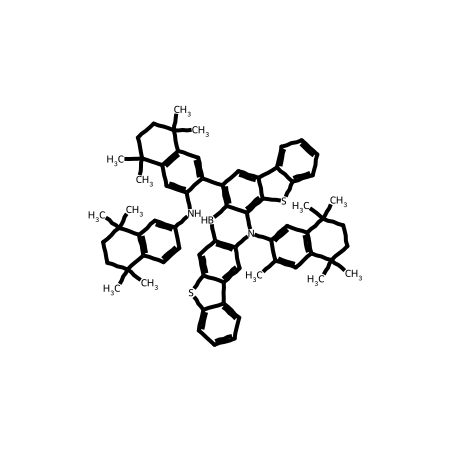 Cc1cc2c(cc1N1c3cc4c(cc3Bc3c(-c5cc6c(cc5Nc5ccc7c(c5)C(C)(C)CCC7(C)C)C(C)(C)CCC6(C)C)cc5c(sc6ccccc65)c31)sc1ccccc14)C(C)(C)CCC2(C)C